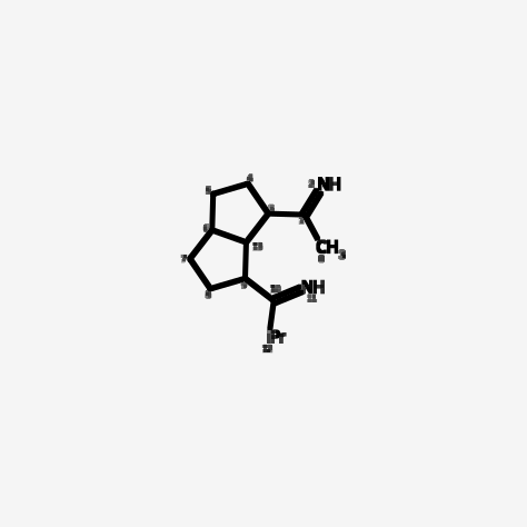 CC(=N)C1CCC2CCC(C(=N)C(C)C)C21